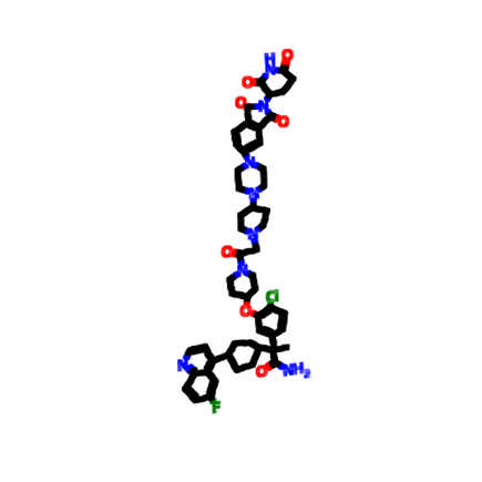 CC(C(N)=O)(c1ccc(Cl)c(OC2CCN(C(=O)CN3CCC(N4CCN(c5ccc6c(c5)C(=O)N(C5CCC(=O)NC5=O)C6=O)CC4)CC3)CC2)c1)C1CCC(c2ccnc3ccc(F)cc23)CC1